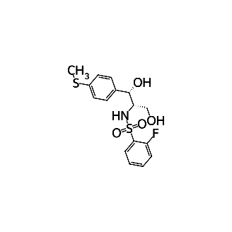 CSc1ccc([C@H](O)[C@H](CO)NS(=O)(=O)c2ccccc2F)cc1